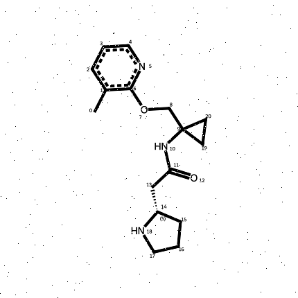 Cc1cccnc1OCC1(NC(=O)C[C@@H]2CCCN2)CC1